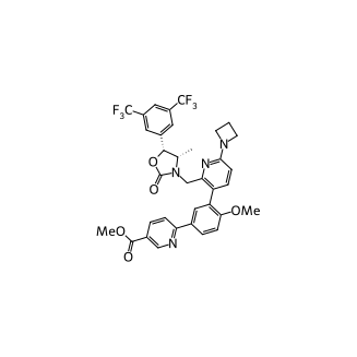 COC(=O)c1ccc(-c2ccc(OC)c(-c3ccc(N4CCC4)nc3CN3C(=O)O[C@H](c4cc(C(F)(F)F)cc(C(F)(F)F)c4)[C@@H]3C)c2)nc1